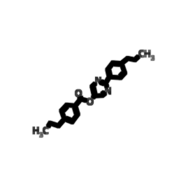 CCCc1ccc(C(=O)Oc2cnc(-c3ccc(CCC)cc3)nc2)cc1